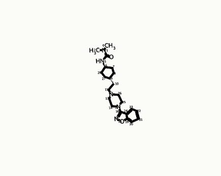 CN(C)C(=O)N[C@H]1CC[C@H](CCN2CCN(c3noc4ccccc34)CC2)CC1